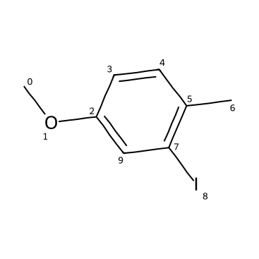 COc1ccc(C)c(I)c1